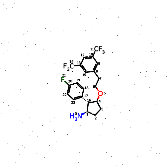 N[C@@H]1CC[C@H](OCCc2cc(C(F)(F)F)cc(C(F)(F)F)c2)[C@H]1c1ccc(F)cc1